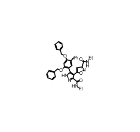 CCNC(=O)c1cc(-c2c(C(=O)NCC)n[nH]c2-c2cc(C(C)C)c(OCc3ccccc3)cc2OCc2ccccc2)on1